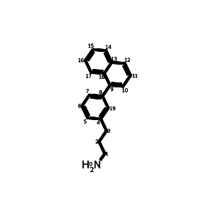 NCCCc1cccc(-c2cccc3ccccc23)c1